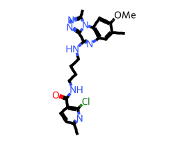 COc1cc2c(cc1C)nc(NCCCCNC(=O)c1ccc(C)nc1Cl)c1nnc(C)n12